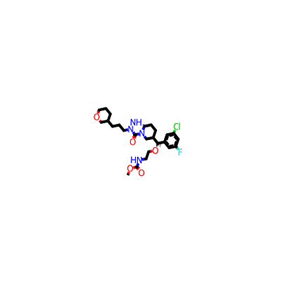 COC(=O)NCCO[C@@H](c1cc(F)cc(Cl)c1)C1CCCN(C(=O)N(N)CCCC2CCCOC2)C1